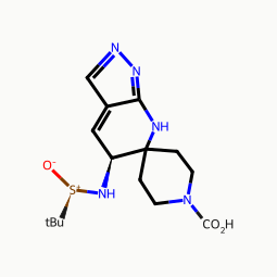 CC(C)(C)[S@@+]([O-])N[C@H]1C=C2C=NN=C2NC12CCN(C(=O)O)CC2